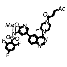 COc1ncc(-c2ccc3ncnc(N4CCN(C(=O)/C=C/C(C)=O)C[C@@H]4C)c3c2)cc1NS(=O)(=O)c1c(F)cc(F)cc1F